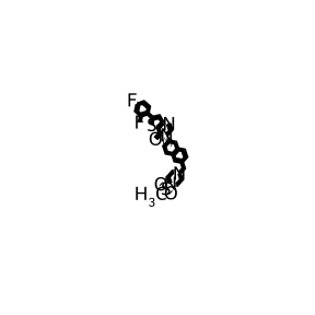 CS(=O)(=O)N1CCN(Cc2ccc3c(c2)CC[C@H](n2cnc4cc(-c5ccc(F)cc5F)sc4c2=O)C3)CC1